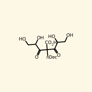 CCCCCCCCCCC(C(=O)O)(C(=O)C(O)CO)C(=O)C(O)CO